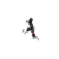 CN1CCC(C2CCN(C(=O)C(Cc3cccc(C(F)(F)F)c3)NC(=O)N3CCC(N4Cc5ccccc5NC4=O)CC3)CC2)CC1